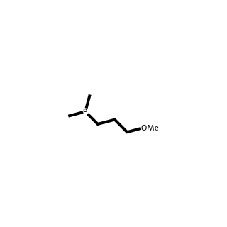 COCCCP(C)C